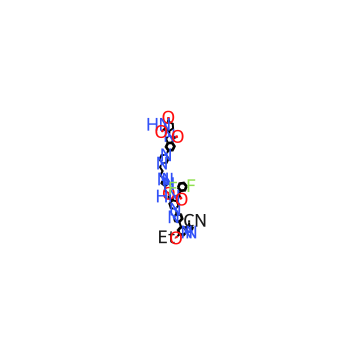 CCOc1cc(-c2ccc(N3CCC(COCc4cn(CCCN5CCN(c6ccc7c(c6)CN(C6CCC(=O)NC6=O)C7=O)CC5)nn4)(NC(=O)c4cc(F)ccc4F)CC3)nc2)c2c(C#N)cnn2c1